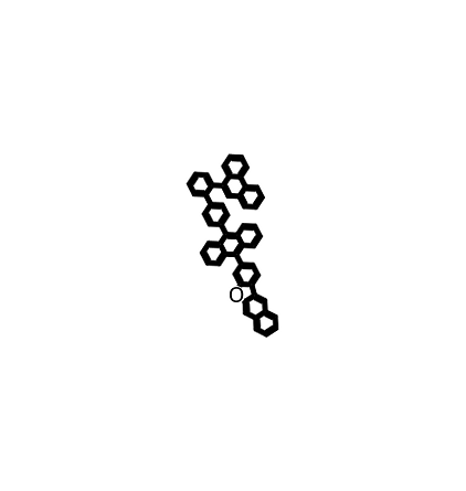 c1ccc(-c2cc3ccccc3c3ccccc23)c(-c2ccc(-c3c4ccccc4c(-c4ccc5c(c4)oc4cc6ccccc6cc45)c4ccccc34)cc2)c1